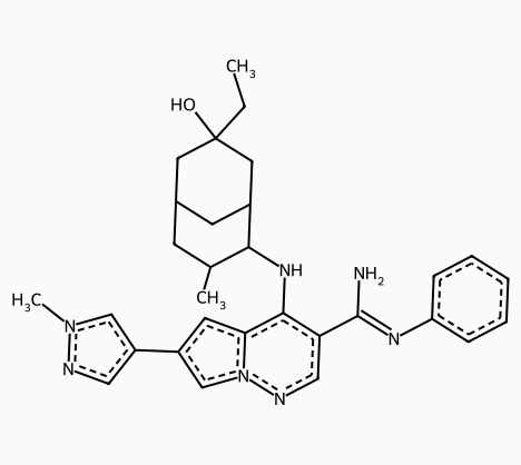 CCC1(O)CC2CC(C)C(Nc3c(/C(N)=N/c4ccccc4)cnn4cc(-c5cnn(C)c5)cc34)C(C2)C1